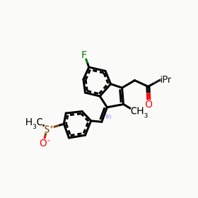 CC1=C(CC(=O)C(C)C)c2cc(F)ccc2/C1=C\c1ccc([S+](C)[O-])cc1